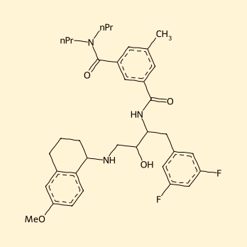 CCCN(CCC)C(=O)c1cc(C)cc(C(=O)NC(Cc2cc(F)cc(F)c2)C(O)CNC2CCCc3cc(OC)ccc32)c1